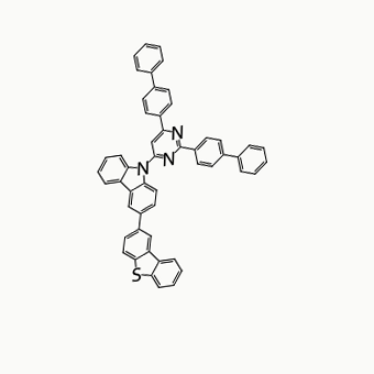 c1ccc(-c2ccc(-c3cc(-n4c5ccccc5c5cc(-c6ccc7sc8ccccc8c7c6)ccc54)nc(-c4ccc(-c5ccccc5)cc4)n3)cc2)cc1